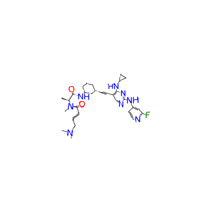 C[C@@H](C(=O)N[C@H]1CCC[C@@H](C#Cc2cnc(Nc3ccnc(F)c3)nc2NC2CC2)C1)N(C)C(=O)/C=C/CN(C)C